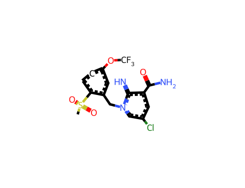 CS(=O)(=O)c1ccc(OC(F)(F)F)cc1Cn1cc(Cl)cc(C(N)=O)c1=N